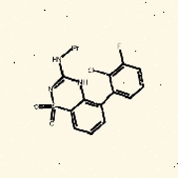 CC(C)NC1=NS(=O)(=O)c2cccc(-c3cccc(F)c3Cl)c2N1